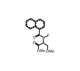 COCC(C(=O)OC)N(F)C(=O)c1cccc2ccccc12